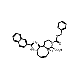 O=C(N[C@H]1C/C=C\C[C@H]2C(C(=O)O)N(C(=O)OCc3ccccc3)CCN2C1=O)c1ccc2ccccc2c1